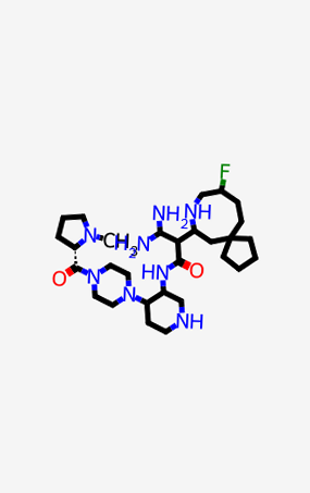 CN1CCC[C@H]1C(=O)N1CCN(C2CCNCC2NC(=O)C(C(N)N)C2CC3(CCCC3)CCC(F)CN2)CC1